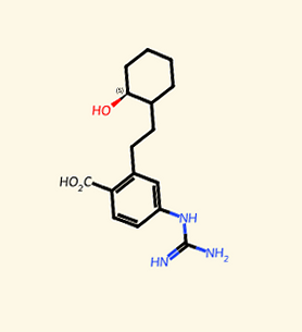 N=C(N)Nc1ccc(C(=O)O)c(CCC2CCCC[C@@H]2O)c1